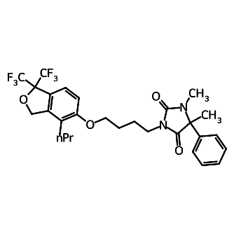 CCCc1c(OCCCCN2C(=O)N(C)C(C)(c3ccccc3)C2=O)ccc2c1COC2(C(F)(F)F)C(F)(F)F